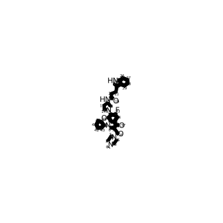 CN1CCN(C(=O)c2cn3c4c(c(N5CCC(NC(=O)CCc6c[nH]c7ccccc67)C5)c(F)cc4c2=O)Oc2ccccc2-3)CC1